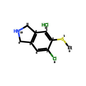 CCSc1cc2c(cc1Cl)CNC2.Cl